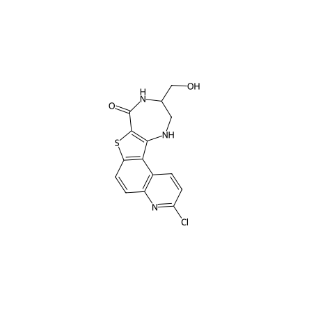 O=C1NC(CO)CNc2c1sc1ccc3nc(Cl)ccc3c21